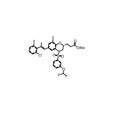 COC(=O)CC[C@H]1CN(S(=O)(=O)c2cccc(OC(F)F)c2)c2cc(/C=C(\C)c3c(F)cccc3Cl)cc(F)c2O1